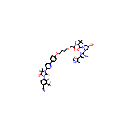 Cc1ncsc1-c1cn(C)c([C@@H]2C[C@@H](O)CN2C(=O)[C@@H](NC(=O)COCCCCOc2ccc(-c3ccc(N4C(=S)N(c5ccc(C#N)c(C(F)(F)F)c5F)C(=O)C4(C)C)cn3)cc2)C(C)(C)C)n1